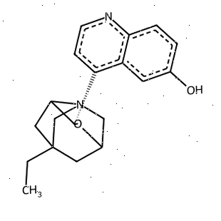 CCC12CC3CN(C1)C(C2)[C@@H](c1ccnc2ccc(O)cc12)O3